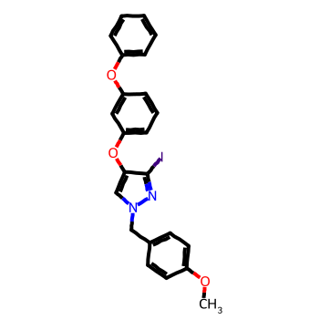 COc1ccc(Cn2cc(Oc3cccc(Oc4ccccc4)c3)c(I)n2)cc1